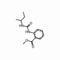 CCC(C)NC(=O)Nc1ccccc1C(=O)OC